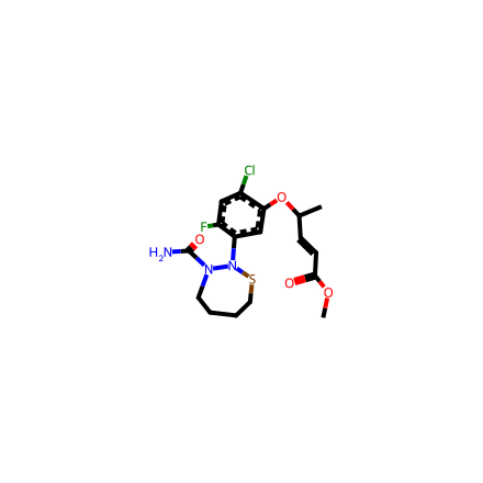 COC(=O)/C=C/C(C)Oc1cc(N2SCCCCN2C(N)=O)c(F)cc1Cl